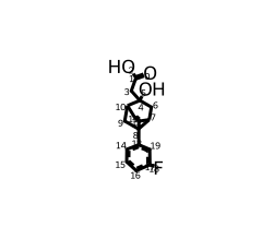 O=C(O)CC1(O)CC2CCC1C=C2c1cccc(F)c1